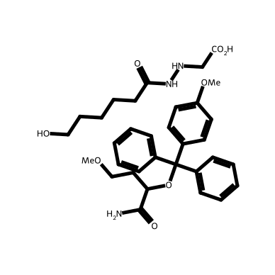 COCCC(OC(c1ccccc1)(c1ccccc1)c1ccc(OC)cc1)C(N)=O.O=C(O)CNNC(=O)CCCCCO